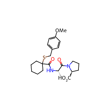 COc1ccc(CSC2(C(=O)N[C@@H](C)C(=O)N3CCC[C@H]3C(=O)O)CCCCC2)cc1